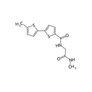 CNC(=O)CNC(=O)c1ccc(-c2ccc(C)s2)s1